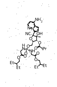 CCC(CC)COC(=O)[C@H](C)NP(=O)(N[C@@H](C)C(=O)OCC(CC)CC)OC[C@H]1O[C@@](C#N)(c2ccc3c(N)ccnn23)[C@](C)(O)[C@@H]1OC(=O)C(C)C